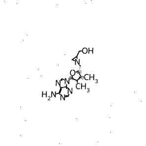 CC1[C@@H](C)[C@@H](CN2CC2CO)O[C@H]1n1cnc2c(N)ncnc21